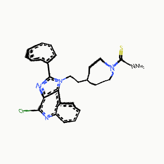 CNC(=S)N1CCC(CCn2c(-c3ccccc3)nc3c(Cl)nc4ccccc4c32)CC1